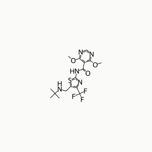 COc1ncnc(OC)c1C(=O)Nc1nc(C(F)(F)F)c(CNC(C)(C)C)s1